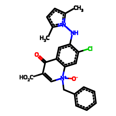 Cc1ccc(C)n1Nc1cc2c(cc1Cl)[N+]([O-])(Cc1ccccc1)C=C(C(=O)O)C2=O